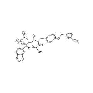 Cc1nc(COc2ccc(C[C@H](NC(=O)O)[C@H](O)CN(CC(C)C)S(=O)(=O)c3ccc4c(c3)OCO4)cc2)cs1